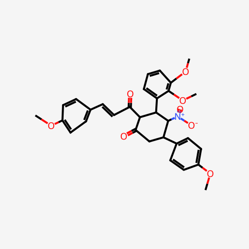 COc1ccc(C=CC(=O)C2C(=O)CC(c3ccc(OC)cc3)C([N+](=O)[O-])C2c2cccc(OC)c2OC)cc1